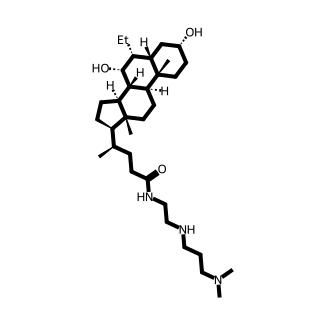 CC[C@H]1[C@@H](O)[C@@H]2[C@H](CC[C@]3(C)[C@@H]([C@H](C)CCC(=O)NCCNCCCN(C)C)CC[C@@H]23)[C@@]2(C)CC[C@@H](O)C[C@@H]12